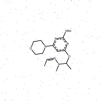 C/C=N\N(C)C(C)Oc1cc(N2CCOCC2)nc(SC)n1